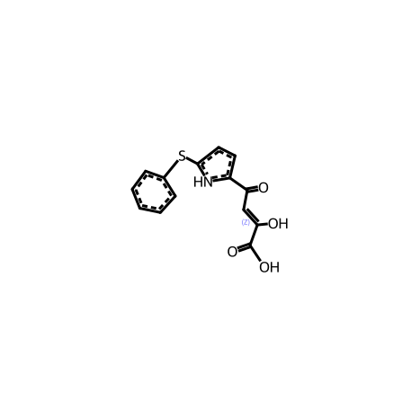 O=C(O)/C(O)=C/C(=O)c1ccc(Sc2ccccc2)[nH]1